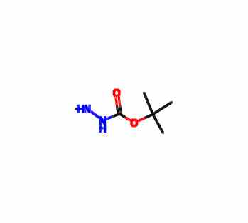 CC(C)(C)OC(=O)N[NH]